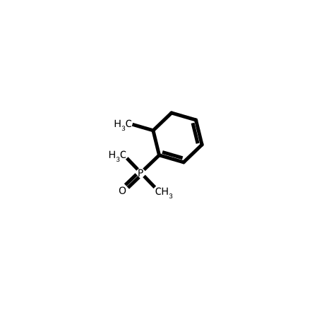 CC1CC=CC=C1P(C)(C)=O